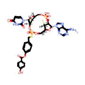 Nc1ncnc2c1ncn2[C@@H]1O[C@@H]2COP(=O)(SCc3ccc(OC(=O)c4ccc(O)cc4)cc3)O[C@@H]3[C@@H](F)[C@@H](COP(=O)(O)O[C@@H]1[C@H]2F)O[C@H]3n1ccc(=O)[nH]c1=O